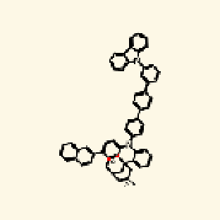 C[C@H]1CC2C[C@H](C)CC(c3ccccc3N(c3ccc(-c4ccc(-c5cccc(-n6c7ccccc7c7ccccc76)c5)cc4)cc3)c3ccc(-c4ccc5ccccc5c4)cc3)(C2)C1